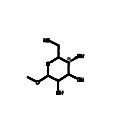 COC1OC(CS)[C@H](O)C(O)C1O